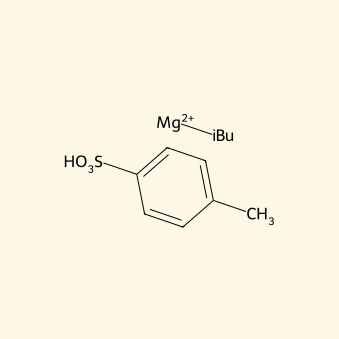 CC[CH](C)[Mg+2].Cc1ccc(S(=O)(=O)O)cc1